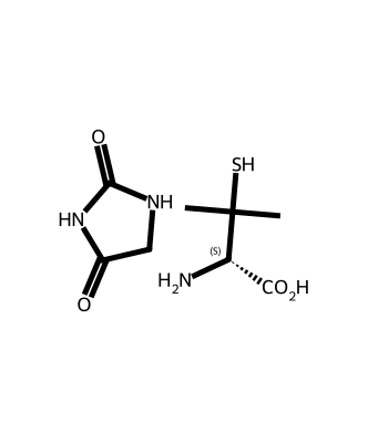 CC(C)(S)[C@@H](N)C(=O)O.O=C1CNC(=O)N1